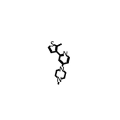 Cc1sccc1-c1cc(N2CCN(C)CC2)ccn1